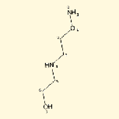 NOCCNCCO